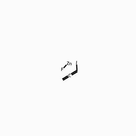 C=C=CI.[F][Zn]